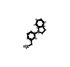 CCc1cccc(N2CCc3ccccc32)c1